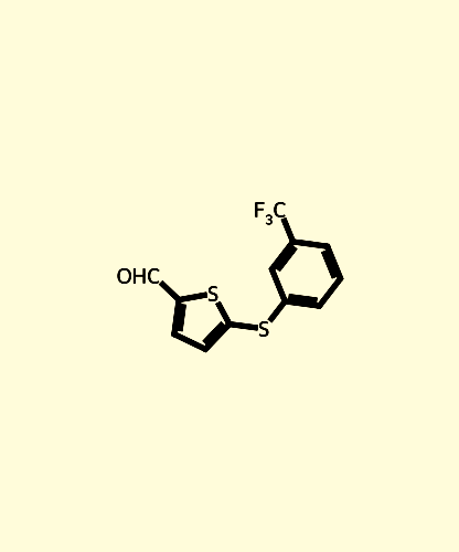 O=Cc1ccc(Sc2cccc(C(F)(F)F)c2)s1